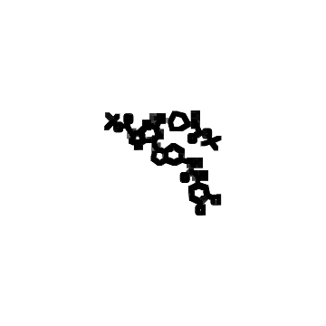 CC(C)(C)OC(=O)N[C@H]1CC[C@H](Nc2nc(N3CCc4cc(NC(=O)Nc5ccc(Cl)c(Cl)c5)ccc43)c3ncn(C(=O)OC(C)(C)C)c3n2)CC1